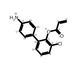 C=CC(=O)Oc1c(Cl)cccc1-c1ccc(N)cc1